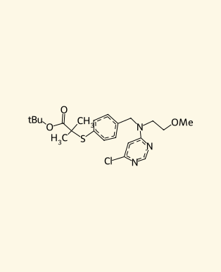 COCCN(Cc1ccc(SC(C)(C)C(=O)OC(C)(C)C)cc1)c1cc(Cl)ncn1